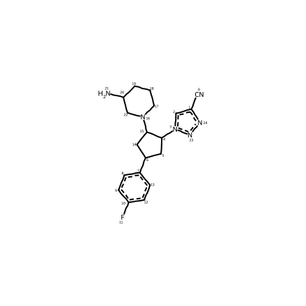 N#Cc1cn(C2CC(c3ccc(F)cc3)CC2N2CCCC(N)C2)nn1